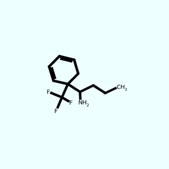 CCCC(N)C1(C(F)(F)F)C=CC=CC1